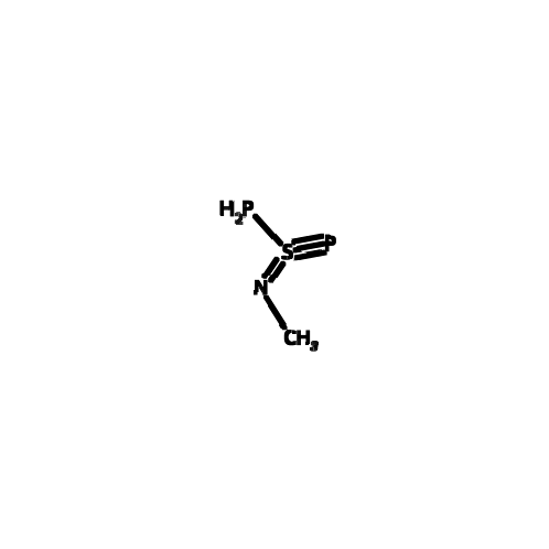 CN=S(#P)P